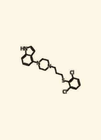 Clc1cccc(Cl)c1SCCCN1CCN(c2cccc3[nH]ccc23)CC1